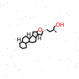 C[C@H](CO)CC[C@@H]1C[C@H]2C(CC3[C@@H]4CC[C@@H]5CCCC[C@]5(C)C4CC[C@@]32C)O1